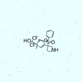 O=S(=O)(c1ccccc1)C1(c2ccc(C(O)(C(F)(F)F)C(F)(F)F)cc2)CCNC1